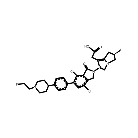 O=C(O)CC1=C2C[C@@H](F)CN2CN1N1Cc2c(Cl)cc(-c3ccc(C4CCN(CCF)CC4)cc3)c(Cl)c2C1=O